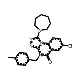 Cc1ccc(Cn2c(=O)c3cc(Cl)ccc3n3c(N4CCCCCC4)nnc23)cc1